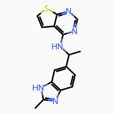 Cc1nc2ccc(C(C)Nc3ncnc4sccc34)cc2[nH]1